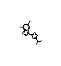 Fc1cc(Br)cn2c(-c3nnc(C(F)F)s3)cnc12